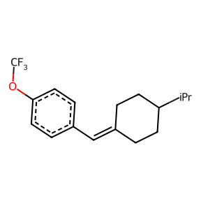 CC(C)C1CCC(=Cc2ccc(OC(F)(F)F)cc2)CC1